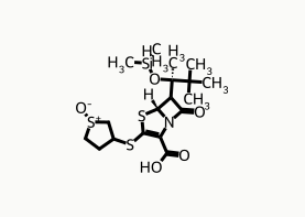 C[SiH](C)O[C@](C)(C1C(=O)N2C(C(=O)O)=C(SC3CC[S+]([O-])C3)S[C@H]12)C(C)(C)C